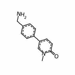 Cn1cc(-c2ccc(CN)cc2)ccc1=O